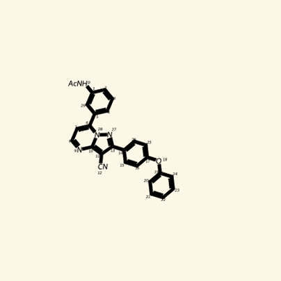 CC(=O)Nc1cccc(-c2ccnc3c(C#N)c(-c4ccc(Oc5ccccc5)cc4)nn23)c1